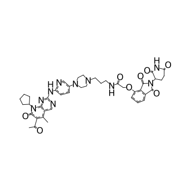 CC(=O)c1c(C)c2cnc(Nc3ccc(N4CCN(CCCNC(=O)COc5cccc6c5C(=O)N(C5CCC(=O)NC5=O)C6=O)CC4)cn3)nc2n(C2CCCC2)c1=O